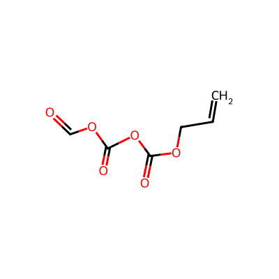 C=CCOC(=O)OC(=O)OC=O